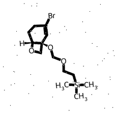 C[Si](C)(C)CCOCO[C@]12C=C(Br)CC[C@H]1OC2